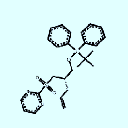 C=CC[C@@H](CO[Si](c1ccccc1)(c1ccccc1)C(C)(C)C)CS(=O)(=O)c1ncccn1